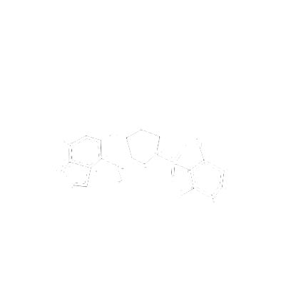 C[C@@H]1CCN(S(=O)(=O)c2c(Cl)cccc2Cl)C[C@@H]1N(C)c1ccnc2[nH]ccc12